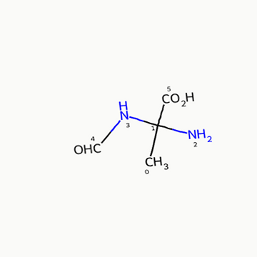 CC(N)(NC=O)C(=O)O